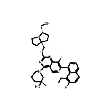 CCc1c(F)ccc2cccc(-c3ncc4c(N5CCC[C@@](C)(O)C5)nc(OC[C@@]56CCCN5[C@H](CO)CC6)nc4c3F)c12